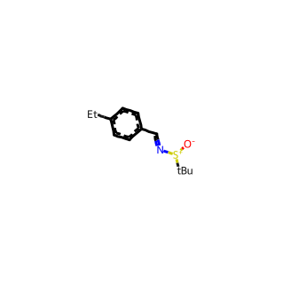 CCc1ccc(C=N[S+]([O-])C(C)(C)C)cc1